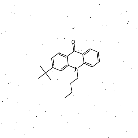 CCCCn1c2ccccc2c(=O)c2ccc(C(C)(C)C)cc21